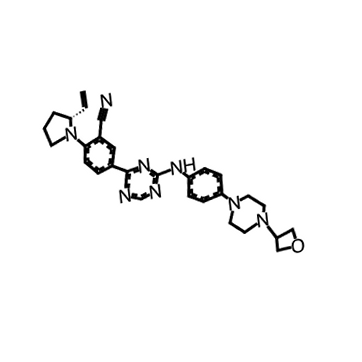 C=C[C@H]1CCCN1c1ccc(-c2ncnc(Nc3ccc(N4CCN(C5COC5)CC4)cc3)n2)cc1C#N